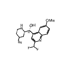 CCC(C)C1CCNC([C@H](O)c2cc(C(F)F)nc3ccc(OC)cc23)C1